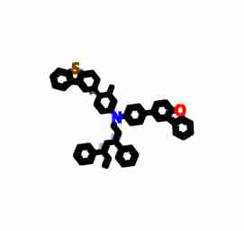 C=C/C(=C\C(=C/CN(C1=CC(C)C([C@H]2C=c3c(sc4ccccc34)=CC2)C=C1)c1ccc(-c2ccc3oc4ccccc4c3c2)cc1)c1ccccc1)c1ccccc1